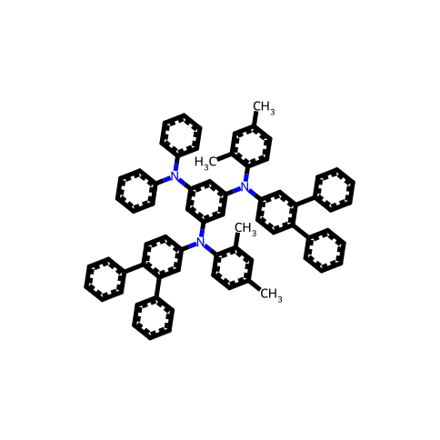 Cc1ccc(N(c2cc(N(c3ccccc3)c3ccccc3)cc(N(c3ccc(-c4ccccc4)c(-c4ccccc4)c3)c3ccc(C)cc3C)c2)c2ccc(-c3ccccc3)c(-c3ccccc3)c2)c(C)c1